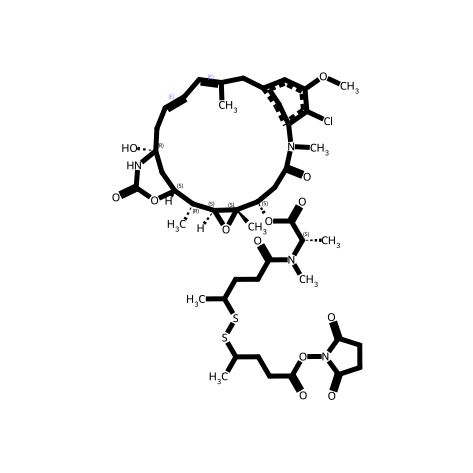 COc1cc2cc(c1Cl)N(C)C(=O)C[C@H](OC(=O)[C@H](C)N(C)C(=O)CCC(C)SSC(C)CCC(=O)ON1C(=O)CCC1=O)[C@]1(C)O[C@H]1[C@H](C)[C@@H]1C[C@](O)(C/C=C/C=C(\C)C2)NC(=O)O1